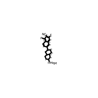 CCCCCCCC1CCC2CC(c3ccc4c(F)c(C#N)c(F)cc4c3)CCC2C1